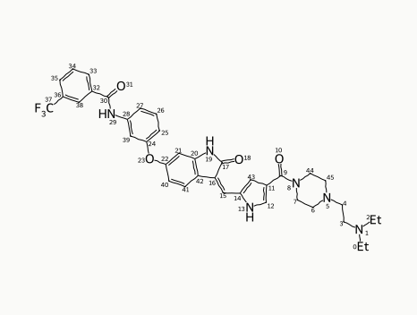 CCN(CC)CCN1CCN(C(=O)c2c[nH]c(/C=C3\C(=O)Nc4cc(Oc5cccc(NC(=O)c6cccc(C(F)(F)F)c6)c5)ccc43)c2)CC1